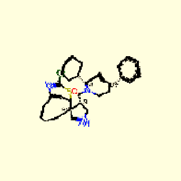 O=C([C@@H]1CNC[C@]12CCCC1=CC2SC(Cl)=N1)N1CC[C@@H](c2ccccc2)C[C@H]1C1CCCCC1